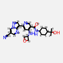 CC(C)(O)C1CCC(NC(=O)c2cnc(-c3cnn4cc(C#N)cnc34)cc2NC2COC2)CC1